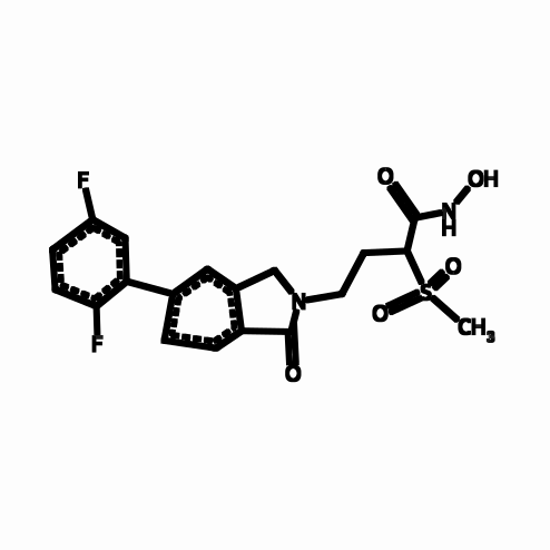 CS(=O)(=O)C(CCN1Cc2cc(-c3cc(F)ccc3F)ccc2C1=O)C(=O)NO